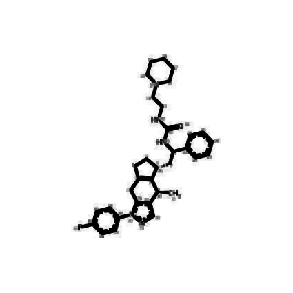 C[C@@H]1C2=C(CC[C@@H]2CC(NC(=O)NCCN2CCCCC2)c2ccccc2)Cc2c1cnn2-c1ccc(F)cc1